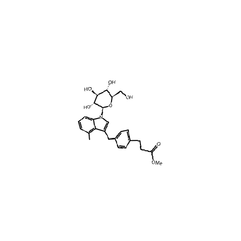 COC(=O)CCc1ccc(Cc2cn([C@@H]3O[C@H](CO)[C@@H](O)[C@H](O)[C@H]3O)c3cccc(C)c23)cc1